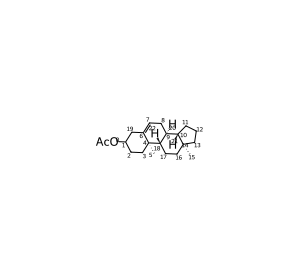 CC(=O)OC1CC[C@@]2(C)C(=CC[C@H]3[C@@H]4CCC[C@@]4(C)CC[C@@H]32)C1